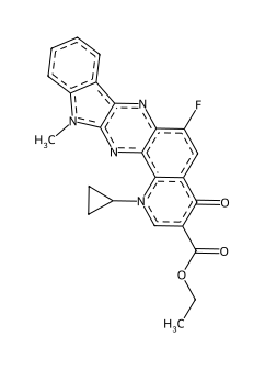 CCOC(=O)c1cn(C2CC2)c2c(cc(F)c3nc4c5ccccc5n(C)c4nc32)c1=O